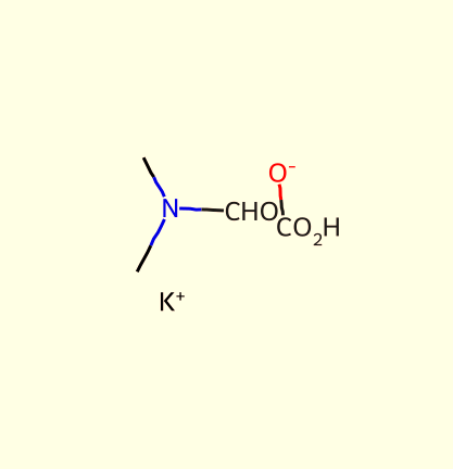 CN(C)C=O.O=C([O-])O.[K+]